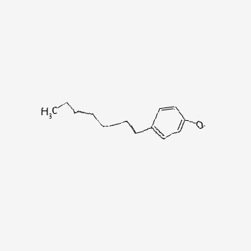 CCCCCCCc1ccc([O])cc1